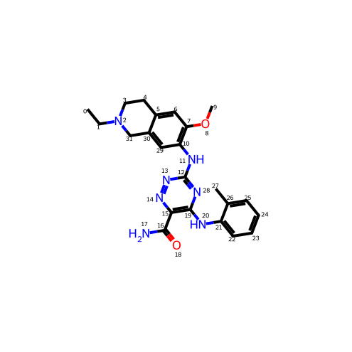 CCN1CCc2cc(OC)c(Nc3nnc(C(N)=O)c(Nc4ccccc4C)n3)cc2C1